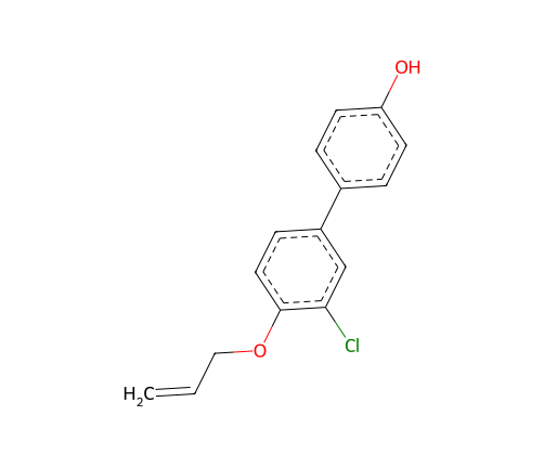 C=CCOc1ccc(-c2ccc(O)cc2)cc1Cl